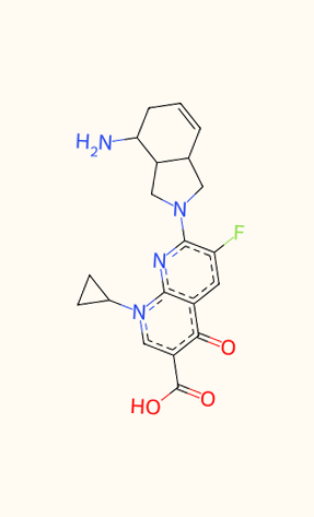 NC1CC=CC2CN(c3nc4c(cc3F)c(=O)c(C(=O)O)cn4C3CC3)CC12